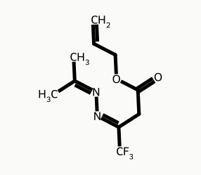 C=CCOC(=O)CC(=NN=C(C)C)C(F)(F)F